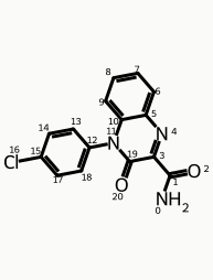 NC(=O)c1nc2ccccc2n(-c2ccc(Cl)cc2)c1=O